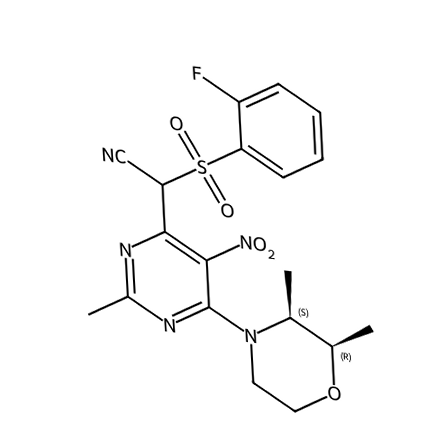 Cc1nc(C(C#N)S(=O)(=O)c2ccccc2F)c([N+](=O)[O-])c(N2CCO[C@H](C)[C@@H]2C)n1